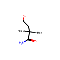 CCCCCCC(CCO)(CCCCCC)C(N)=O